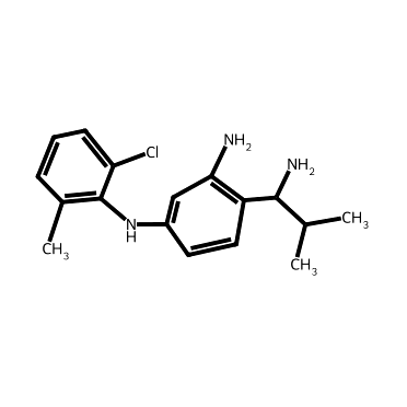 Cc1cccc(Cl)c1Nc1ccc(C(N)C(C)C)c(N)c1